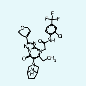 CCc1c(N2CC3CCC(C2)N3)c(=O)n2nc(C3=CCOCC3)nc2n1CC(=O)Nc1ccc(C(F)(F)F)cc1Cl